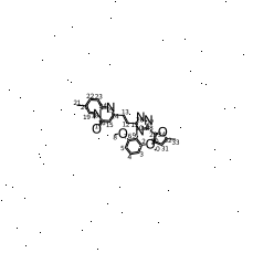 COc1cccc(OC)c1-n1c(/C=C/c2cc(=O)n3cc(C)ccc3n2)nnc1-c1ccc(C)o1